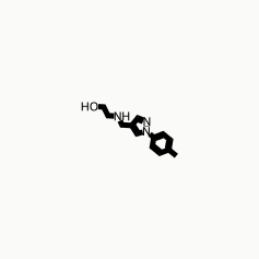 Cc1ccc(-n2cc(CNCCO)cn2)cc1